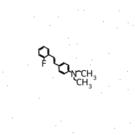 CCN(CC)c1ccc(/C=C/c2ccccc2F)cc1